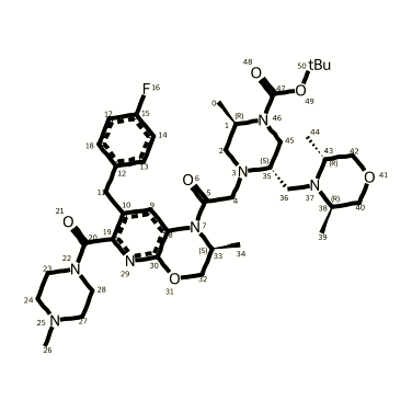 C[C@@H]1CN(CC(=O)N2c3cc(Cc4ccc(F)cc4)c(C(=O)N4CCN(C)CC4)nc3OC[C@@H]2C)[C@@H](CN2[C@H](C)COC[C@H]2C)CN1C(=O)OC(C)(C)C